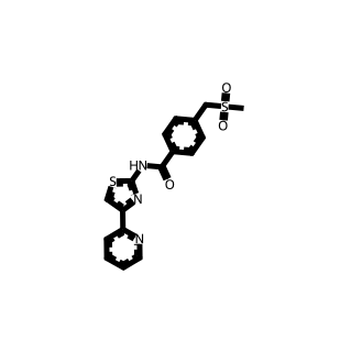 CS(=O)(=O)Cc1ccc(C(=O)Nc2nc(-c3ccccn3)cs2)cc1